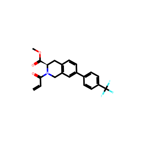 C=CC(=O)N1Cc2cc(-c3ccc(C(F)(F)F)cc3)ccc2C[C@@H]1C(=O)OC